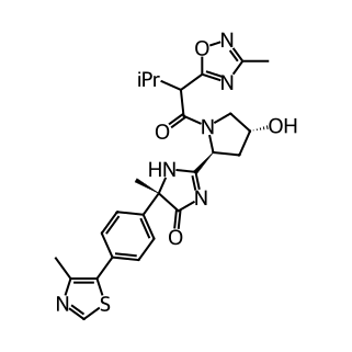 Cc1noc(C(C(=O)N2C[C@H](O)C[C@H]2C2=NC(=O)[C@](C)(c3ccc(-c4scnc4C)cc3)N2)C(C)C)n1